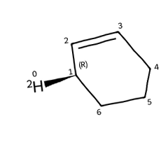 [2H][C@H]1C=CCCC1